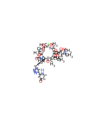 CC[C@H]1OC(=O)[C@@](C)(F)C(=O)[C@H](C)[C@@H](O[C@@H]2OC(C)CC(N(C)C)C2O)[C@](C)(OC)C[C@@H](C)C(=O)[C@H](C)[C@H]2N(CC#CCn3cc(-c4cc(=O)cc[nH]4)nn3)C(=O)O[C@]12C